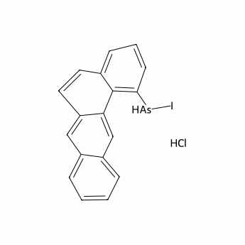 Cl.I[AsH]c1cccc2ccc3cc4ccccc4cc3c12